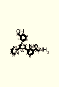 NCC(=O)c1cccc(C2CN(c3cccc(CO)c3)CC(c3ncccn3)O2)c1N